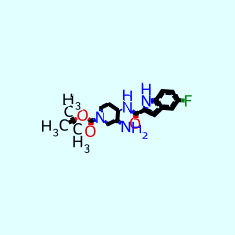 CC(C)(C)OC(=O)N1CC[C@H](NC(=O)c2cc3cc(F)ccc3[nH]2)C(N)C1